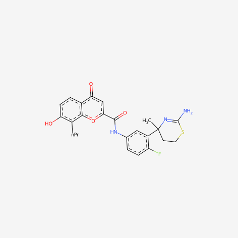 CCCc1c(O)ccc2c(=O)cc(C(=O)Nc3ccc(F)c(C4(C)CCSC(N)=N4)c3)oc12